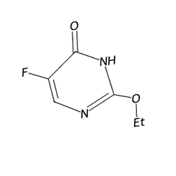 CCOc1ncc(F)c(=O)[nH]1